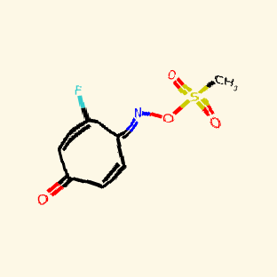 CS(=O)(=O)ON=C1C=CC(=O)C=C1F